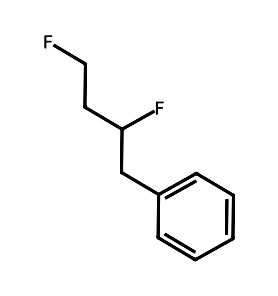 FCCC(F)Cc1ccccc1